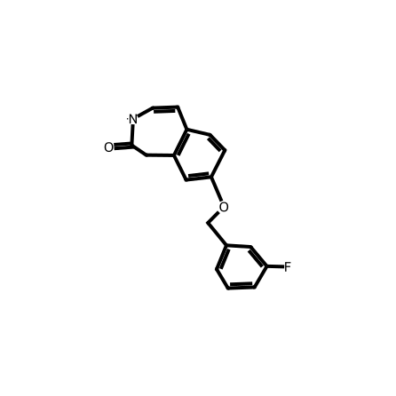 O=C1Cc2cc(OCc3cccc(F)c3)ccc2C=C[N]1